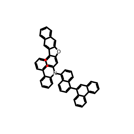 c1ccc(-c2ccccc2N(c2ccc3c(c2)oc2cc4ccccc4cc23)c2cccc3c(-c4cc5ccccc5c5ccccc45)cccc23)cc1